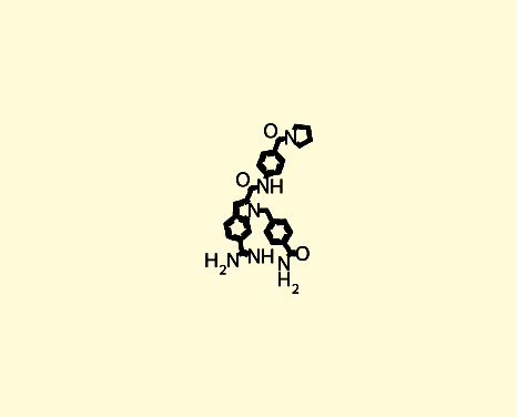 N=C(N)c1ccc2cc(C(=O)Nc3ccc(C(=O)N4CCCC4)cc3)n(Cc3ccc(C(N)=O)cc3)c2c1